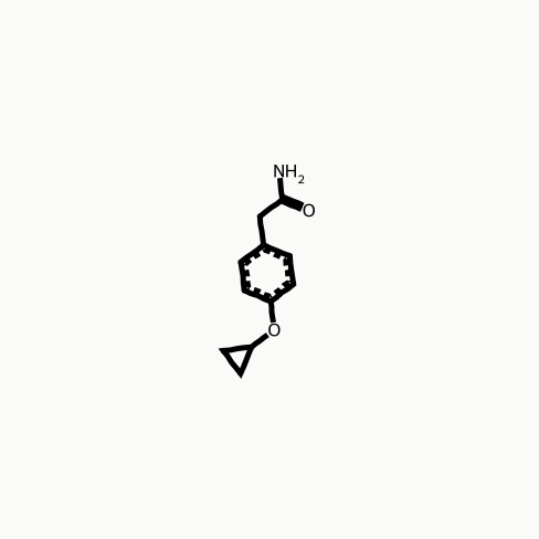 NC(=O)Cc1ccc(OC2CC2)cc1